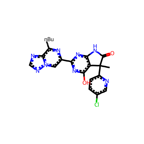 CCCCc1nc(-c2nc(O)c3c(n2)NC(=O)C3(C)c2ccc(Cl)cn2)cn2ncnc12